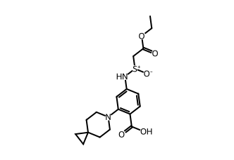 CCOC(=O)C[S+]([O-])Nc1ccc(C(=O)O)c(N2CCC3(CC2)CC3)c1